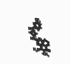 C[C@H]1C(=O)N2CCCc3nc(N[C@H]4C[C@H](Nc5cccc(C(F)(F)F)n5)C4)nc(c32)N1C